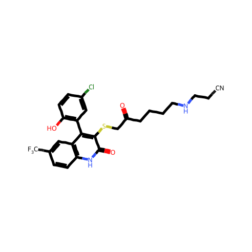 N#CCCNCCCCC(=O)CSc1c(-c2cc(Cl)ccc2O)c2cc(C(F)(F)F)ccc2[nH]c1=O